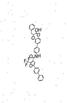 O=C(Nc1ccc(-c2cccc(OC(Cc3ccccc3)C(=O)O)c2)cc1)c1cc(-c2ccc(-c3ccccc3)cc2)oc1C(F)(F)F